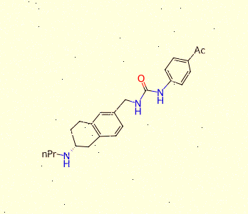 CCCN[C@@H]1CCc2cc(CNC(=O)Nc3ccc(C(C)=O)cc3)ccc2C1